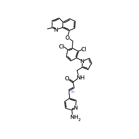 Cc1ccc2cccc(OCc3c(Cl)ccc(-n4cccc4CNC(=O)/C=C/c4ccc(N)nc4)c3Cl)c2n1